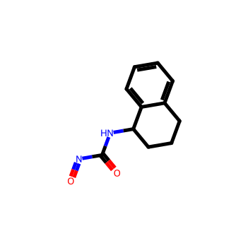 O=NC(=O)NC1CCCc2ccccc21